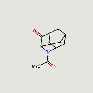 COC(=O)N1C2CC3CC(C2)C(=O)C1C3